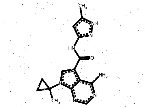 Cc1cc(NC(=O)c2cn(C3(C)CC3)c3ncnc(N)c23)n[nH]1